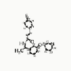 CC(NC(=O)C=Cc1ccc(F)cc1)c1cccc(Oc2cccnc2)c1